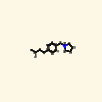 CC(C)CCc1ccc(CN2CCCC2)cc1